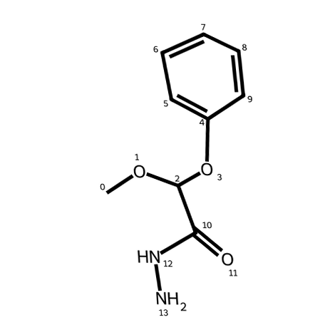 COC(Oc1ccccc1)C(=O)NN